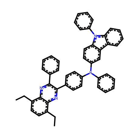 CCc1ccc(CC)c2nc(-c3ccc(N(c4ccccc4)c4ccc5c(c4)c4ccccc4n5-c4ccccc4)cc3)c(-c3ccccc3)nc12